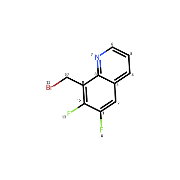 Fc1cc2cccnc2c(CBr)c1F